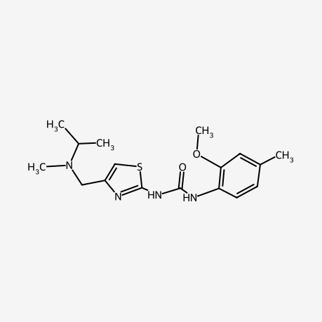 COc1cc(C)ccc1NC(=O)Nc1nc(CN(C)C(C)C)cs1